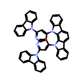 c1ccc2c(c1)c1ccccc1n2-c1cc(-n2c3ccccc3c3ccc4c5ccccc5n(-c5ccnc(-n6c7ccccc7c7ccccc76)c5)c4c32)ccn1